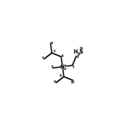 CC[N+](C)(CC(C)C)C(C)C.S